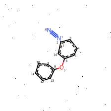 N#[N+]c1cccc(Oc2ccccc2)c1